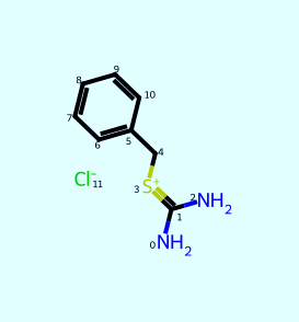 NC(N)=[S+]Cc1ccccc1.[Cl-]